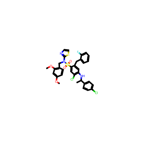 COc1ccc(CN(c2nccs2)S(=O)(=O)c2cc(Cl)c(NC(C)c3ccc(Cl)cc3)cc2Cc2ccccc2F)c(OC)c1